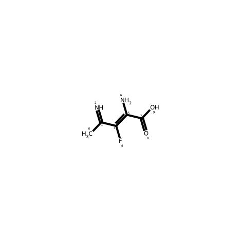 CC(=N)/C(F)=C(\N)C(=O)O